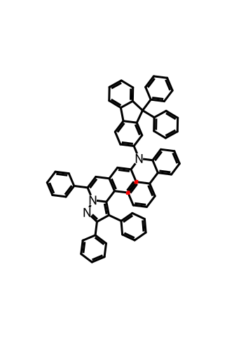 c1ccc(-c2ccccc2N(c2ccc3c(c2)C(c2ccccc2)(c2ccccc2)c2ccccc2-3)c2ccc3c(c2)cc(-c2ccccc2)n2nc(-c4ccccc4)c(-c4ccccc4)c32)cc1